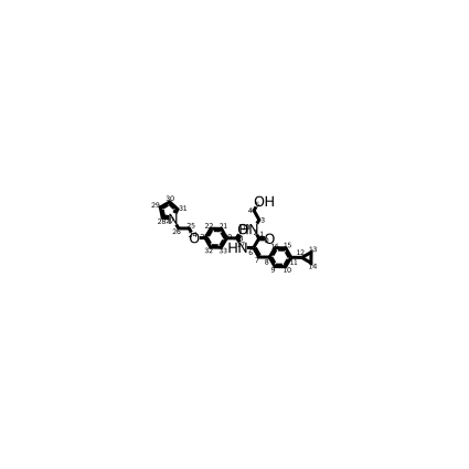 O=C(NCCO)/C(=C\c1ccc(C2CC2)cc1)NC(=O)c1ccc(OCCn2cccc2)cc1